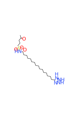 CC(=O)CCCS(=O)(=O)NC(=O)CCCCCCCCCCCCCCCC1=NNNN1